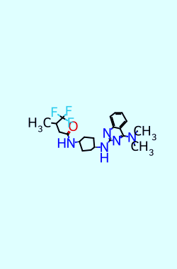 CC(CC(=O)N[C@H]1CC[C@@H](Nc2nc(N(C)C)c3ccccc3n2)CC1)C(F)(F)F